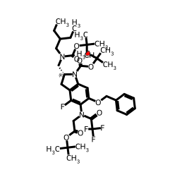 CCC(CC)CN(C[C@H]1Cc2c(cc(OCc3ccccc3)c(N(CC(=O)OC(C)(C)C)C(=O)C(F)(F)F)c2F)N1C(=O)OC(C)(C)C)C(=O)OC(C)(C)C